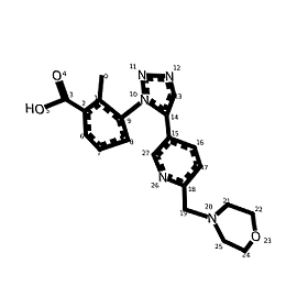 Cc1c(C(=O)O)cccc1-n1nncc1-c1ccc(CN2CCOCC2)nc1